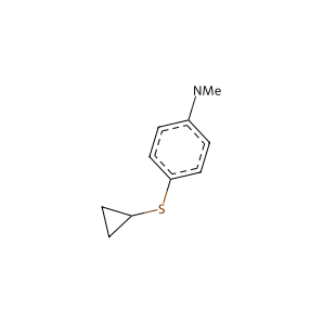 CNc1ccc(SC2CC2)cc1